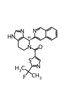 CC(C)(F)c1ncc(C(=O)N2CCc3[nH]cnc3[C@H]2c2cc3ccccc3cn2)s1